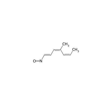 C\C=C/C(C)=C\C=C\N=O